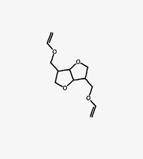 C=COCC1COC2C(COC=C)COC12